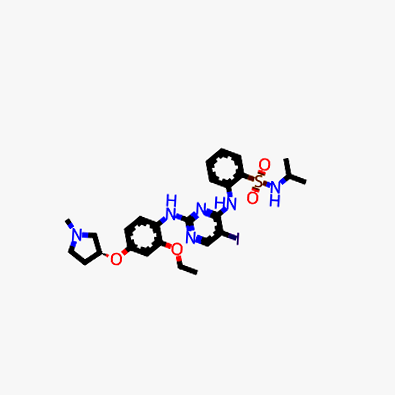 CCOc1cc(O[C@@H]2CCN(C)C2)ccc1Nc1ncc(I)c(Nc2ccccc2S(=O)(=O)NC(C)C)n1